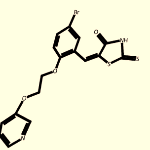 O=C1NC(=S)SC1=Cc1cc(Br)ccc1OCCOc1cccnc1